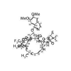 COc1cc2ccnc(O[C@@H]3C[C@H]4C(=O)N[C@]5(C(=O)NS(=O)(=O)C6(CF)CC6)C[C@H]5/C=C\CC[C@H](C)C[C@@H](C)[C@H](N(C(=O)O)C(C)(C)C(F)(F)F)C(=O)N4C3)c2cc1OC